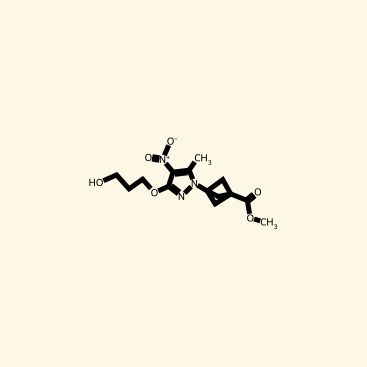 COC(=O)C12CC(n3nc(OCCCO)c([N+](=O)[O-])c3C)(C1)C2